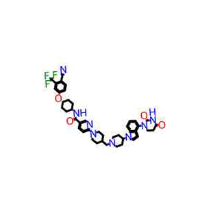 N#Cc1ccc(O[C@H]2CC[C@H](NC(=O)c3ccc(N4CCC(CN5CCC(n6ccc7c(N8CCC(=O)NC8=O)cccc76)CC5)CC4)nc3)CC2)cc1C(F)(F)F